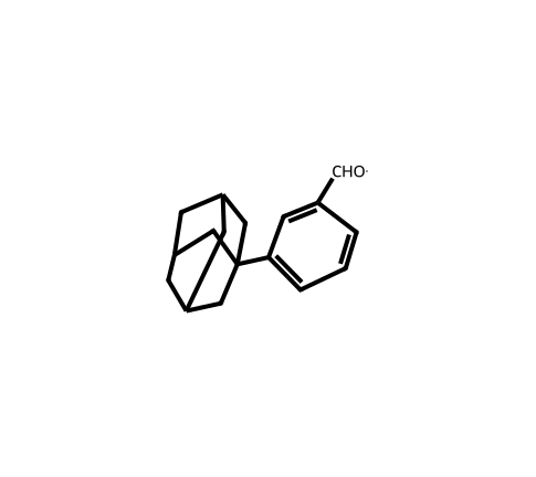 O=[C]c1cccc(C23CC4CC(CC(C4)C2)C3)c1